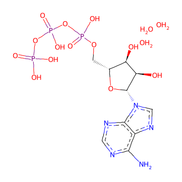 Nc1ncnc2c1ncn2[C@@H]1O[C@H](COP(=O)(O)OP(=O)(O)OP(=O)(O)O)[C@@H](O)[C@H]1O.O.O.O